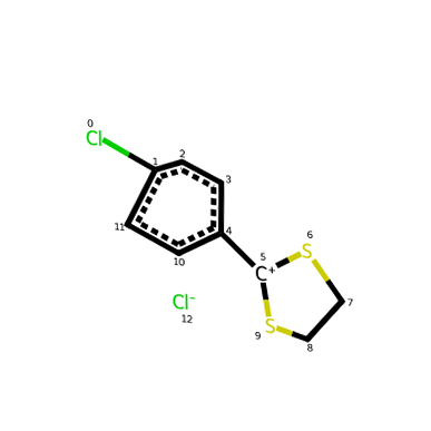 Clc1ccc([C+]2SCCS2)cc1.[Cl-]